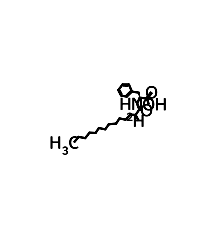 [2H]C(CCCCCCCCCCCC)C(=O)N[C@@H](Cc1ccccc1)C(=O)O